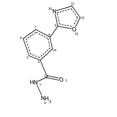 NNC(=O)c1cccc(-c2ncco2)c1